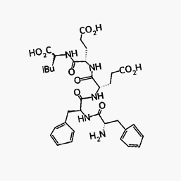 CC[C@H](C)[C@H](NC(=O)[C@H](CCC(=O)O)NC(=O)[C@H](CCC(=O)O)NC(=O)[C@H](Cc1ccccc1)NC(=O)[C@@H](N)Cc1ccccc1)C(=O)O